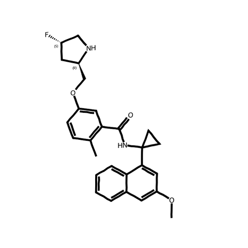 COc1cc(C2(NC(=O)c3cc(OC[C@H]4C[C@H](F)CN4)ccc3C)CC2)c2ccccc2c1